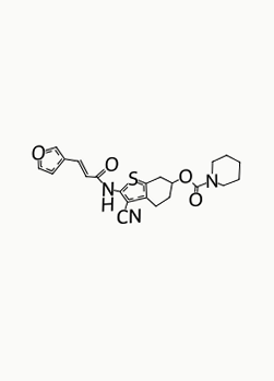 N#Cc1c(NC(=O)C=Cc2ccoc2)sc2c1CCC(OC(=O)N1CCCCC1)C2